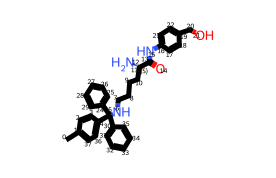 Cc1ccc(C(NCCCC[C@H](N)C(=O)Nc2ccc(CO)cc2)(c2ccccc2)c2ccccc2)cc1